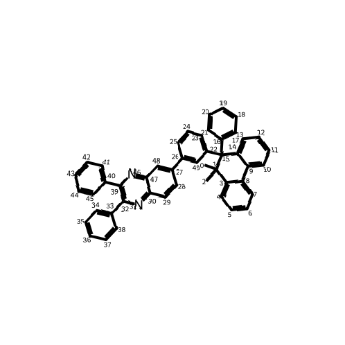 CC1(C)c2ccccc2-c2ccccc2C1(c1ccccc1)c1cccc(-c2ccc3nc(-c4ccccc4)c(-c4ccccc4)nc3c2)c1